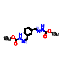 CC(C)(C)OC(=O)N/N=C\c1cccc(/C=N/NC(=O)OC(C)(C)C)c1